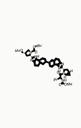 COC[C@H]1C[C@@H](c2nc3ccc4cc(-c5ccc6c(ccc7nc([C@@H]8C[C@H]9C[C@H]9N8C(=O)C(NC(=O)OC)C(C)C)[nH]c76)c5)ccc4c3[nH]2)N(C(=O)OC(C)(C)C)C1